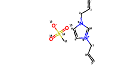 C=CCn1cc[n+](CC=C)c1.CS(=O)(=O)[O-]